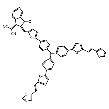 N#CC(C#N)=C1/C(=C/c2ccc(-c3ccc(N(c4ccc(-c5ccc(/C=C/c6cccs6)s5)cc4)c4ccc(-c5ccc(/C=C/c6cccs6)s5)cc4)cc3)s2)C(=O)c2ccccc21